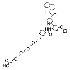 O=C(O)CCOCCOCCOCCOCCCc1cccc(C(=O)Nc2ccc(OC3CCC3)cc2-c2cc(C(=O)NC3CCCc4ccccc43)ccn2)c1